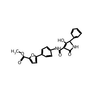 COC(=O)c1ccc(-c2ccc(NC(=O)C3=C(O)C(c4ccccc4)NC3=O)cc2)o1